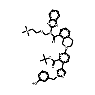 CC(C)(C)OC(=O)c1nc(N2CCc3cccc(C(=O)N(COCC[Si](C)(C)C)c4nc5ccccc5s4)c3C2)ccc1-c1cnn(Cc2cccc(O)c2)c1